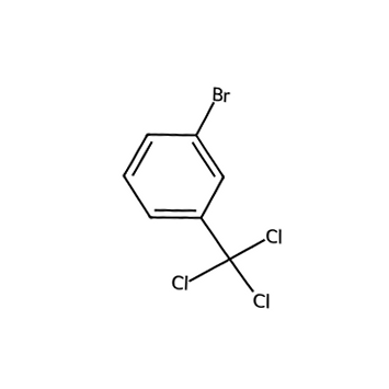 ClC(Cl)(Cl)c1cccc(Br)c1